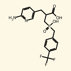 Nc1ccc(CC(CP(=O)(O)Cc2ccc(C(F)(F)F)cc2)C(=O)O)cn1